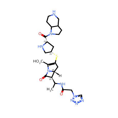 CC(NC(=O)Cn1cnnn1)[C@H]1C(=O)N2C(C(=O)O)=C(S[C@@H]3CN[C@H](C(=O)N4CCC5CNCCC54)C3)C[C@H]12